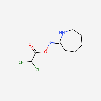 O=C(O/N=C1\CCCCCN1)C(Cl)Cl